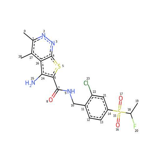 Cc1nnc2sc(C(=O)NCc3ccc(S(=O)(=O)C(C)F)cc3Cl)c(N)c2c1C